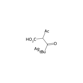 CC(=O)C(C(=O)O)C(=O)C(C)(C)C.[Ag]